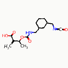 C=C(C(=O)O)C(C)OC(=O)NCC1CCCC(CN=C=O)C1